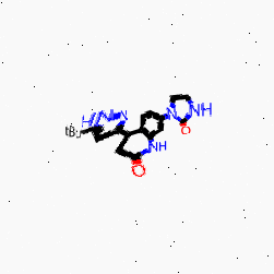 CC(C)(C)c1cc(C2CC(=O)Nc3cc(N4CCNC4=O)ccc32)n[nH]1